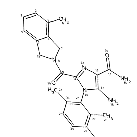 Cc1cccc2c1CN(C(=O)c1nc(C(N)=O)c(N)n1-c1c(C)ccc(O)c1C)C2